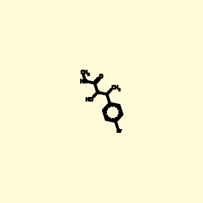 CNC(=O)N(O)C(C)c1ccc(Br)cc1